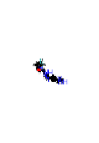 Cc1nc(-c2ccc(-c3cc(NCCn4c(C)cc5c(C)cc(F)c(F)c54)ncn3)cc2)c[nH]1